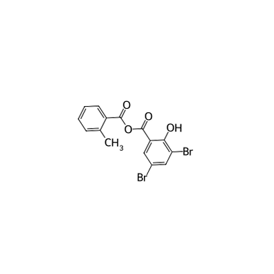 Cc1ccccc1C(=O)OC(=O)c1cc(Br)cc(Br)c1O